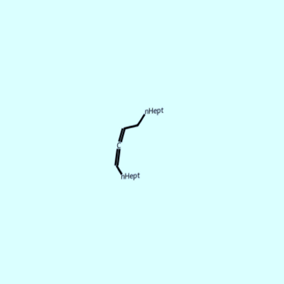 [CH2]CCCCCCCC=C=CCCCCCCC